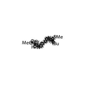 COC(=O)N[C@H](C(=O)N1CCC[C@H]1c1nc2ccc3cc(-c4ccc5c(ccc6nc([C@@H]7C[C@H](SC)CN7C(=O)OC(C)(C)C)[nH]c65)c4)ccc3c2[nH]1)C(C)C